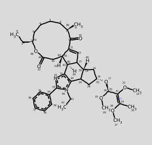 CC[C@H]1CCCC[C@@H](C)C(=O)C2=CC3[C@@H]4C[C@H](O[C@H](OC)/C(OC)=C(/C)OC)CC4c4c(nc(-c5ccccc5)n4CC)[C@H]3[C@@H]2CC(=O)O1